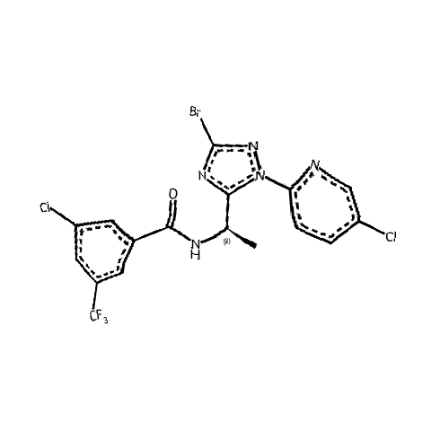 C[C@@H](NC(=O)c1cc(Cl)cc(C(F)(F)F)c1)c1nc(Br)nn1-c1ccc(Cl)cn1